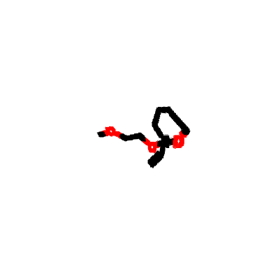 C=C[Si]1(OCCOC)CCCCO1